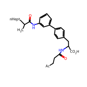 CCCCCCCC(C)C(=O)Nc1cccc(-c2ccc(CC(NC(=O)CCC(C)=O)C(=O)O)cc2)c1